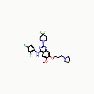 COc1cc2c(Nc3ccc(F)cc3F)nc(N3CCC(F)(F)CC3)nc2cc1OCCCN1CCCC1